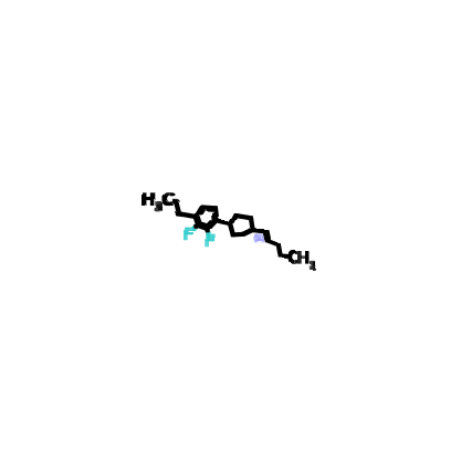 CCC/C=C/C1CCC(c2ccc(CCC)c(F)c2F)CC1